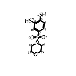 O=S(=O)(c1ccc(S)c(S)c1)N1CCOCC1